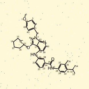 COc1ccc(Cn2nc(OC3CCCCC3)c3c(Nc4cccc(C(=O)Nc5ccc(C(C)C)c(C)c5)c4)ccnc32)cc1